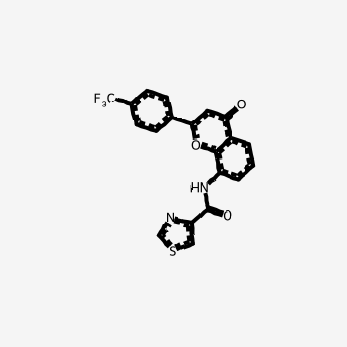 O=C(Nc1cccc2c(=O)cc(-c3ccc(C(F)(F)F)cc3)oc12)c1cscn1